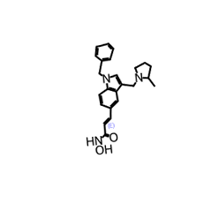 CC1CCCN1Cc1cn(Cc2ccccc2)c2ccc(/C=C/C(=O)NO)cc12